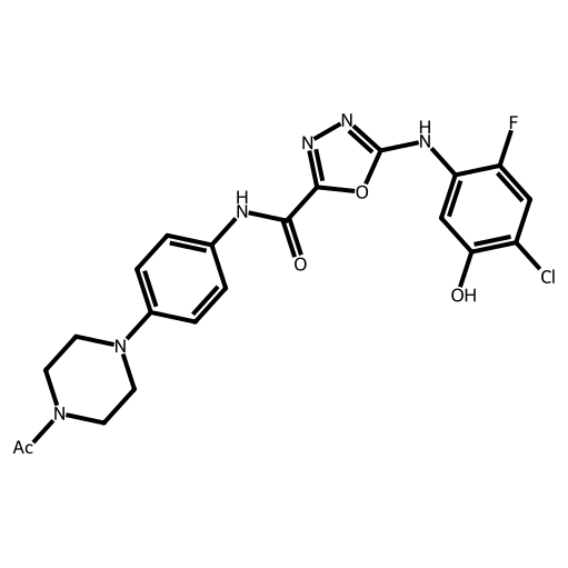 CC(=O)N1CCN(c2ccc(NC(=O)c3nnc(Nc4cc(O)c(Cl)cc4F)o3)cc2)CC1